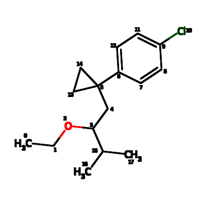 CCOC(CC1(c2ccc(Cl)cc2)CC1)C(C)C